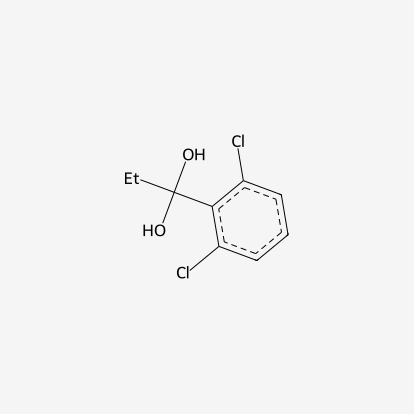 CCC(O)(O)c1c(Cl)cccc1Cl